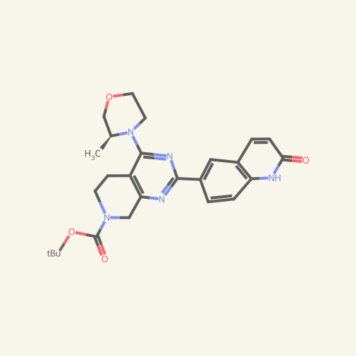 C[C@H]1COCCN1c1nc(-c2ccc3[nH]c(=O)ccc3c2)nc2c1CCN(C(=O)OC(C)(C)C)C2